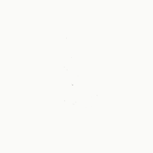 C=CCC(=O)OC1CCC(C)(C)C1C